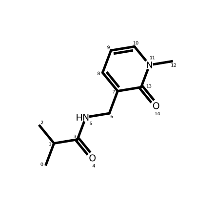 CC(C)C(=O)NCc1cccn(C)c1=O